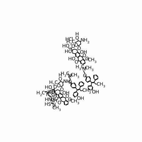 C=CC(C)N=C(S)NNC(S)=NC.CC/C(=C(/c1ccc(OCCN(C)C)cc1)c1cccc(O)c1)c1ccccc1.CC/C(=C(/c1ccc(OCCN(C)C)cc1)c1cccc(O)c1)c1ccccc1.COc1cccc2c1C(=O)c1c(O)c3c(c(O)c1C2=O)C[C@@](O)(C(=O)CO)C[C@@H]3OC1CC(N)C(O)C(C)O1.COc1cccc2c1C(=O)c1c(O)c3c(c(O)c1C2=O)C[C@@](O)(C(=O)CO)C[C@@H]3O[C@H]1C[C@H](N)[C@H](O)[C@H](C)O1.Cl